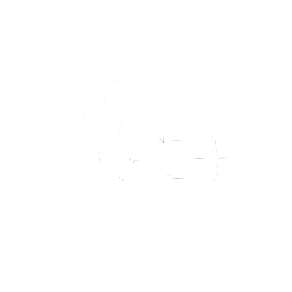 CS(=O)(=O)c1ccc(-n2nc(C(F)(F)F)c3c2C2CCCCC2CC3)nc1